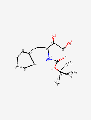 CC(C)(C)OC(=O)N[C@@H](CC1CCCCC1)[C@@H](O)CO